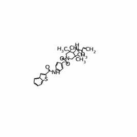 C=CC(=O)NC1C(C)(C)CN(S(=O)(=O)c2ccc(NC(=O)c3cc4ccccc4s3)cc2)CC1(C)C